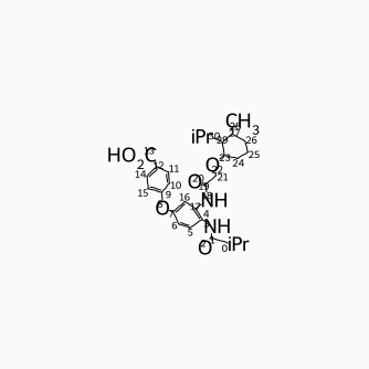 CC(C)C(=O)Nc1ccc(Oc2ccc(C(=O)O)cc2)cc1NC(=O)COC1CCCC(C)C1C(C)C